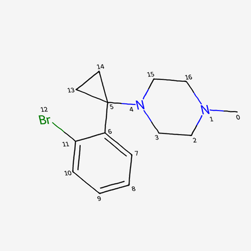 CN1CCN(C2(c3ccccc3Br)CC2)CC1